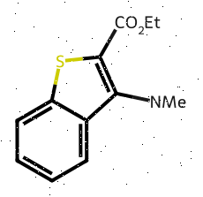 CCOC(=O)c1sc2ccccc2c1NC